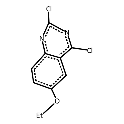 CCOc1ccc2nc(Cl)nc(Cl)c2c1